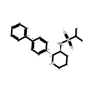 CC(C)S(=O)(=O)N[C@H]1CCCO[C@@H]1c1ccc(-c2ccccc2)cc1